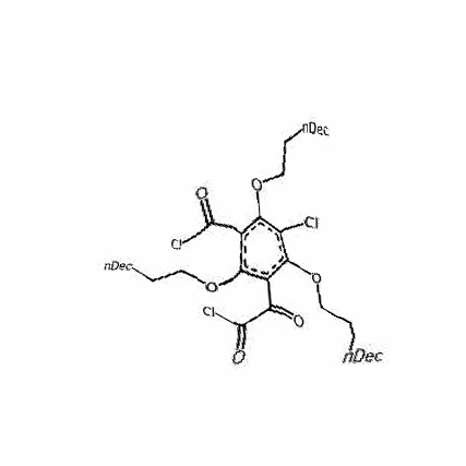 CCCCCCCCCCCCOc1c(Cl)c(OCCCCCCCCCCCC)c(C(=O)C(=O)Cl)c(OCCCCCCCCCCCC)c1C(=O)Cl